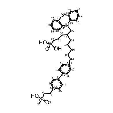 CP(=O)(O)CC[n+]1ccc(-c2cc[n+](CCCCCC(CCCP(=O)(O)O)CN3c4ccccc4Sc4ccccc43)cc2)cc1